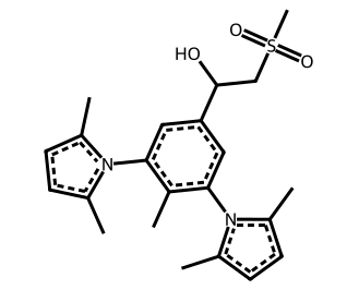 Cc1c(-n2c(C)ccc2C)cc(C(O)CS(C)(=O)=O)cc1-n1c(C)ccc1C